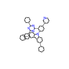 c1ccc(-c2ccc3c(c2)c2cc(-c4ccccc4)ccc2n3-c2ccc(-c3cccnc3)cc2-c2nc(-c3ccccc3)nc(-c3ccccc3)n2)cc1